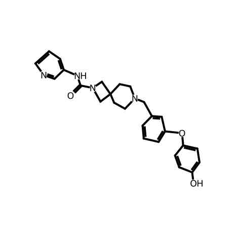 O=C(Nc1cccnc1)N1CC2(CCN(Cc3cccc(Oc4ccc(O)cc4)c3)CC2)C1